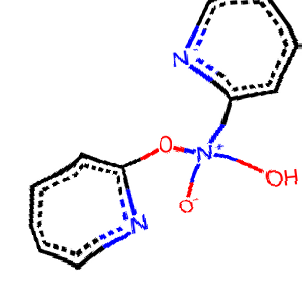 [O-][N+](O)(Oc1ccccn1)c1ccccn1